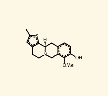 COc1c(O)ccc2c1CN1CCc3cc(C)sc3[C@@H]1C2